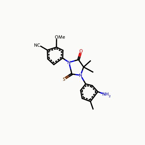 COc1cc(N2C(=O)C(C)(C)N(c3ccc(C)c(N)c3)C2=S)ccc1C#N